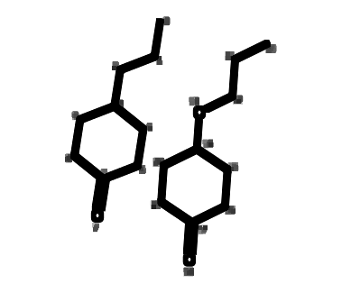 CCCC1CCC(=O)CC1.CCCOC1CCC(=O)CC1